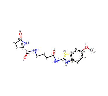 O=C(CCCNC(=O)[C@@H]1CCC(=O)N1)Nc1nc2ccc(OC(F)(F)F)cc2s1